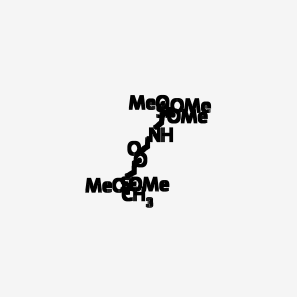 CO[Si](C)(CCCOC(=O)CCNCCC[Si](OC)(OC)OC)OC